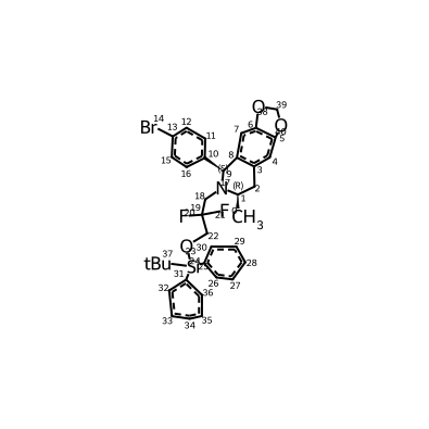 C[C@@H]1Cc2cc3c(cc2[C@H](c2ccc(Br)cc2)N1CC(F)(F)CO[Si](c1ccccc1)(c1ccccc1)C(C)(C)C)OCO3